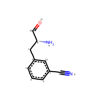 N#Cc1cccc(C[C@@H](N)[C]=O)c1